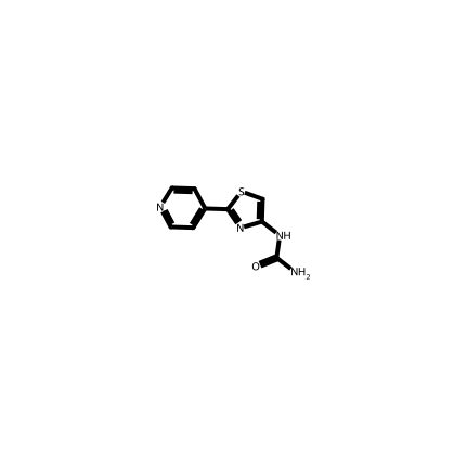 NC(=O)Nc1csc(-c2ccncc2)n1